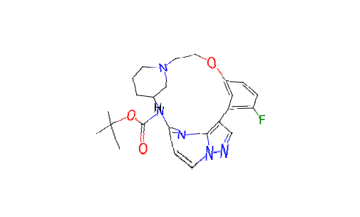 CC(C)(C)OC(=O)N1c2ccn3ncc(c3n2)-c2cc(ccc2F)OCCN2CCC[C@H]1C2